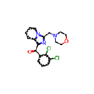 O=C(c1cccc(Cl)c1Cl)c1nc(CN2CCOCC2)n2ccccc12